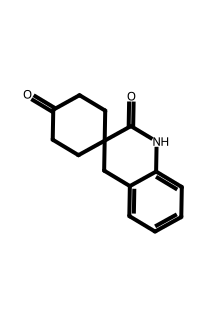 O=C1CCC2(CC1)Cc1ccccc1NC2=O